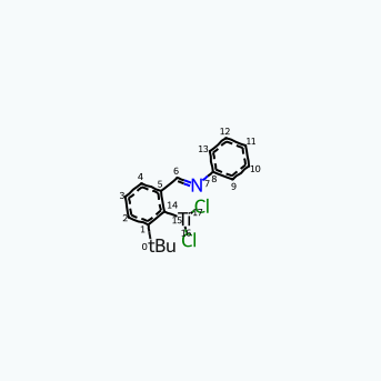 CC(C)(C)c1cccc(C=Nc2ccccc2)[c]1[Ti]([Cl])[Cl]